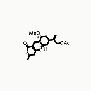 C=C(COC(C)=O)C1C[C@@H]2Oc3cc(C)oc(=O)c3C=C2[C@H](OC)C1